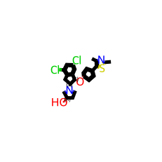 Cc1nc(C)c(-c2ccc(O[C@H]3c4cc(Cl)cc(Cl)c4C[C@@H]3N3CC[C@@H](O)C3)cc2)s1